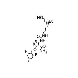 CCN(CCO)CCCCNC(=O)Nc1snc(OCc2c(F)cc(C)cc2F)c1C(N)=O